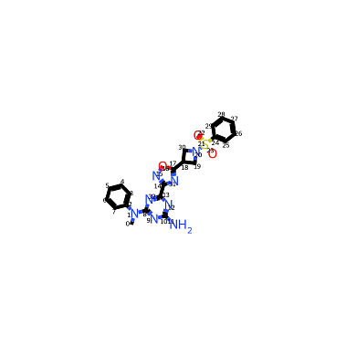 CN(c1ccccc1)c1nc(N)nc(-c2noc(C3CN(S(=O)(=O)c4ccccc4)C3)n2)n1